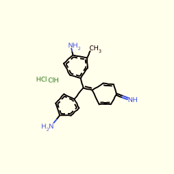 Cc1cc(C(=C2C=CC(=N)C=C2)c2ccc(N)cc2)ccc1N.Cl.Cl